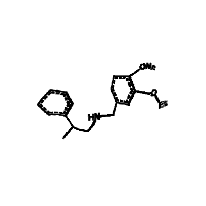 CCOc1cc(CNCC(C)c2ccccc2)ccc1OC